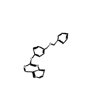 c1ccc(COc2ccc(Sc3ncc4ccccc4n3)cc2)cc1